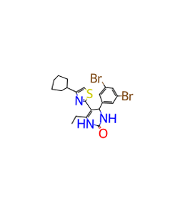 CCC1=C(c2nc(C3CCCCC3)cs2)C(c2cc(Br)cc(Br)c2)NC(=O)N1